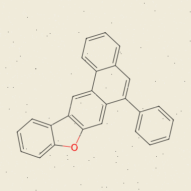 c1ccc(-c2cc3ccccc3c3cc4c(cc23)oc2ccccc24)cc1